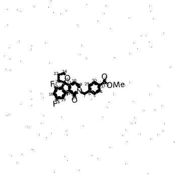 COC(=O)c1ccc(Cn2ccc(C3(c4c(F)cc(F)cc4F)CCCO3)cc2=O)cc1